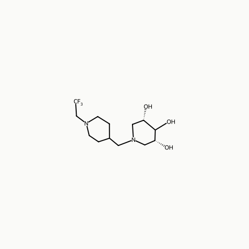 OC1[C@H](O)CN(CC2CCN(CC(F)(F)F)CC2)C[C@@H]1O